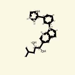 CC(C)C[C@H](O)[C@@H](O)c1cnc2c(ccn2-c2cccc(-c3nnc[nH]3)c2)c1